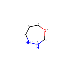 C1CNNCOC1